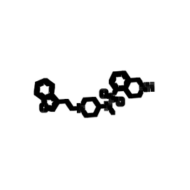 CN(C1CCN(CCc2coc3ccccc23)CC1)S(=O)(=O)c1cccc2c1CCNC2